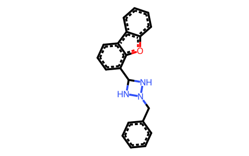 c1ccc(CN2NC(c3cccc4c3oc3ccccc34)N2)cc1